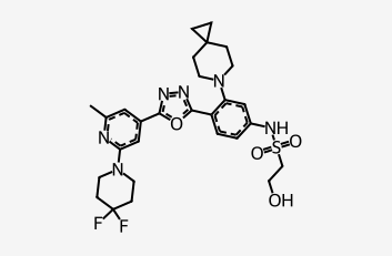 Cc1cc(-c2nnc(-c3ccc(NS(=O)(=O)CCO)cc3N3CCC4(CC3)CC4)o2)cc(N2CCC(F)(F)CC2)n1